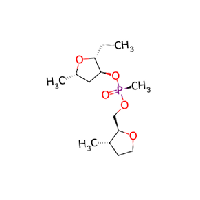 CC[C@H]1O[C@@H](C)C[C@@H]1O[P@@](C)(=O)OC[C@H]1OCC[C@@H]1C